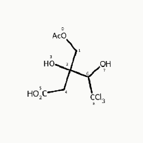 CC(=O)OCC(O)(CC(=O)O)C(O)C(Cl)(Cl)Cl